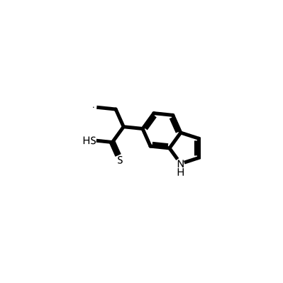 [CH2]CC(C(=S)S)c1ccc2cc[nH]c2c1